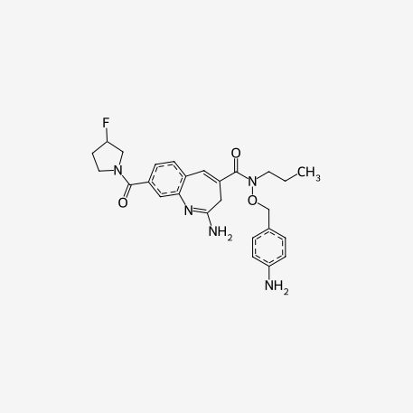 CCCN(OCc1ccc(N)cc1)C(=O)C1=Cc2ccc(C(=O)N3CCC(F)C3)cc2N=C(N)C1